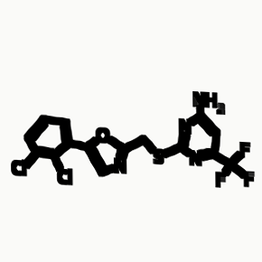 Nc1cc(C(F)(F)F)nc(SCc2ncc(-c3cccc(Cl)c3Cl)o2)n1